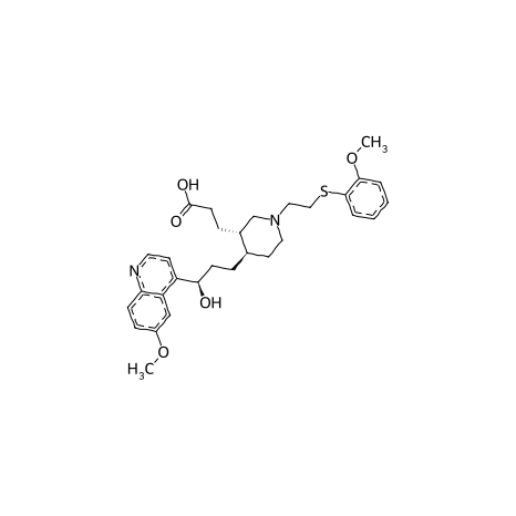 COc1ccc2nccc([C@H](O)CC[C@@H]3CCN(CCSc4ccccc4OC)C[C@H]3CCC(=O)O)c2c1